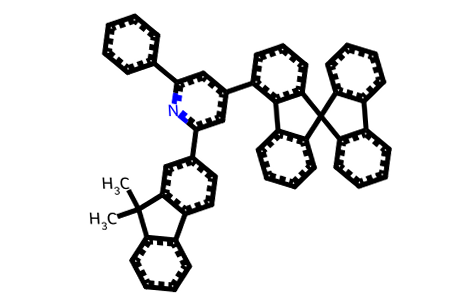 CC1(C)c2ccccc2-c2ccc(-c3cc(-c4cccc5c4-c4ccccc4C54c5ccccc5-c5ccccc54)cc(-c4ccccc4)n3)cc21